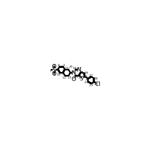 C[C@H]1c2ccc(S(C)(=O)=O)cc2CCC1n1cnc2cc(-c3ccc(Cl)cc3)sc2c1=O